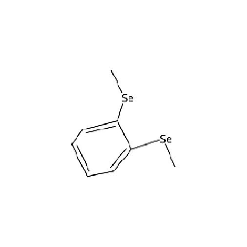 C[Se]c1ccccc1[Se]C